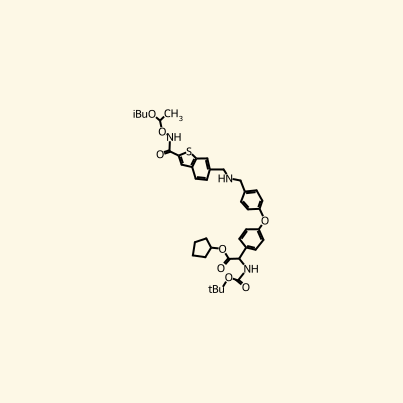 CC(C)COC(C)ONC(=O)c1cc2ccc(CNCc3ccc(Oc4ccc(C(NC(=O)OC(C)(C)C)C(=O)OC5CCCC5)cc4)cc3)cc2s1